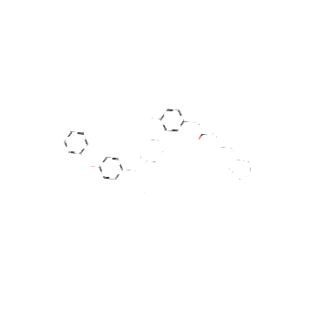 Cc1ccc(NC(=O)NCCC2CCCN2)cc1C1CCN(Cc2ccc(Oc3cc(F)c(F)cc3F)cc2)CC1.Cl.Cl